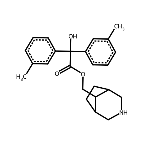 Cc1cccc(C(O)(C(=O)OCC2C3CCC2CNC3)c2cccc(C)c2)c1